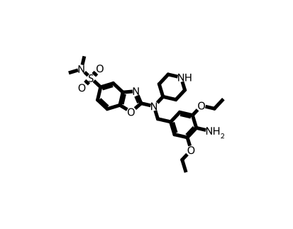 CCOc1cc(CN(c2nc3cc(S(=O)(=O)N(C)C)ccc3o2)C2CCNCC2)cc(OCC)c1N